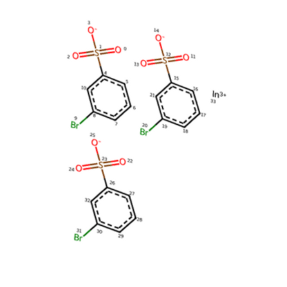 O=S(=O)([O-])c1cccc(Br)c1.O=S(=O)([O-])c1cccc(Br)c1.O=S(=O)([O-])c1cccc(Br)c1.[In+3]